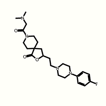 CN(C)CC(=O)N1CCC2(CC1)CC(CCN1CCN(c3ccc(F)cc3)CC1)OC2=O